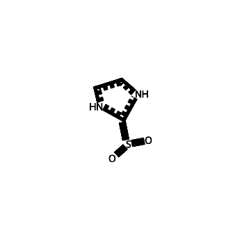 O=S(=O)=c1[nH]cc[nH]1